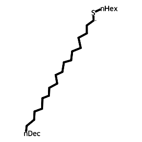 CCCCCCCCCCCCCCCCCCCCCCCCCCC[CH]SCCCCCC